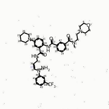 CN(CCN1CCOCC1)C(=O)c1cccc(C(=O)Nc2ccc(N3CCCCC3)cc2C(=O)NC/C=C\N(N)c2cccc(C(F)(F)F)c2)c1